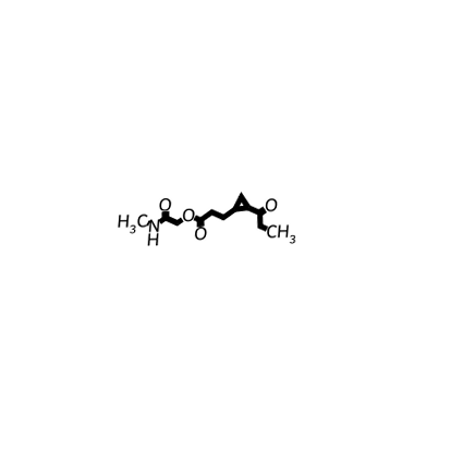 CCC(=O)C1CC1CCC(=O)OCC(=O)NC